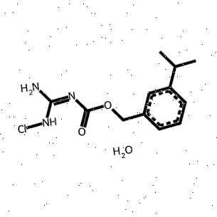 CC(C)c1cccc(COC(=O)N=C(N)NCl)c1.O